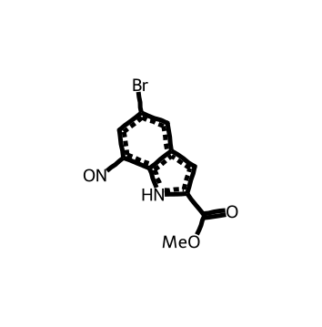 COC(=O)c1cc2cc(Br)cc(N=O)c2[nH]1